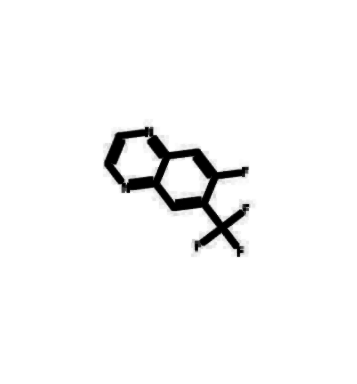 Fc1cc2n[c]cnc2cc1C(F)(F)F